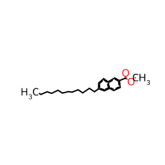 CCCCCCCCCCCCc1ccc2cc(C(=O)OC)ccc2c1